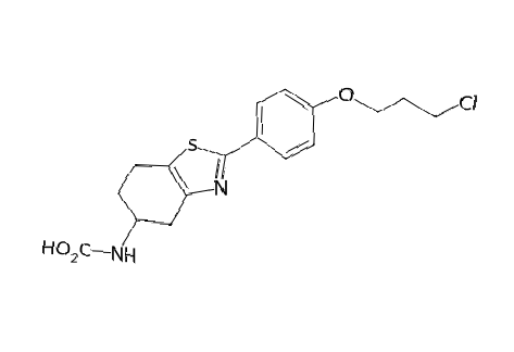 O=C(O)NC1CCc2sc(-c3ccc(OCCCCl)cc3)nc2C1